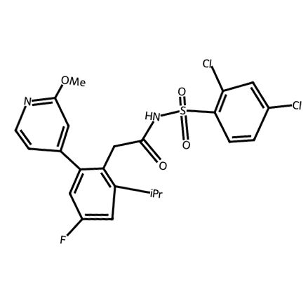 COc1cc(-c2cc(F)cc(C(C)C)c2CC(=O)NS(=O)(=O)c2ccc(Cl)cc2Cl)ccn1